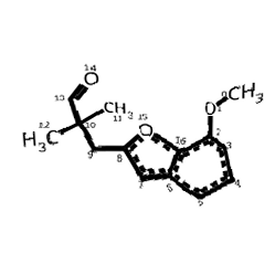 COc1cccc2cc(CC(C)(C)C=O)oc12